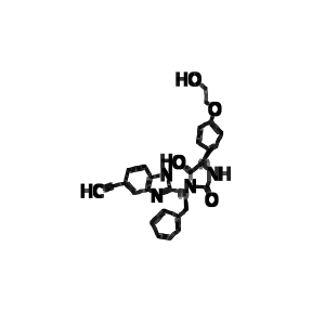 C#Cc1ccc2[nH]c([C@H](Cc3ccccc3)N3C(=O)N[C@H](c4ccc(OCCO)cc4)C3=O)nc2c1